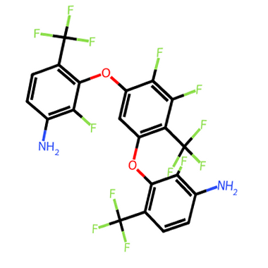 Nc1ccc(C(F)(F)F)c(Oc2cc(Oc3c(C(F)(F)F)ccc(N)c3F)c(C(F)(F)F)c(F)c2F)c1F